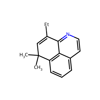 CCC1=CC(C)(C)c2cccc3ccnc1c23